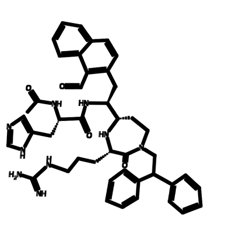 CC(=O)N[C@@H](Cc1cnc[nH]1)C(=O)N[C@@H](Cc1ccc2ccccc2c1C=O)[C@@H]1CCN(CC(c2ccccc2)c2ccccc2)C(=O)[C@H](CCCNC(=N)N)N1